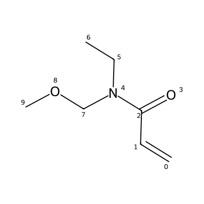 C=CC(=O)N(CC)COC